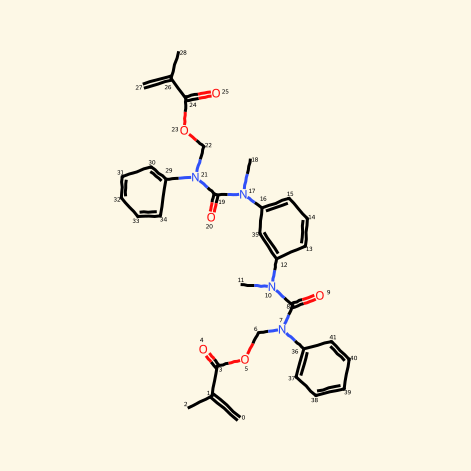 C=C(C)C(=O)OCN(C(=O)N(C)c1cccc(N(C)C(=O)N(COC(=O)C(=C)C)c2ccccc2)c1)c1ccccc1